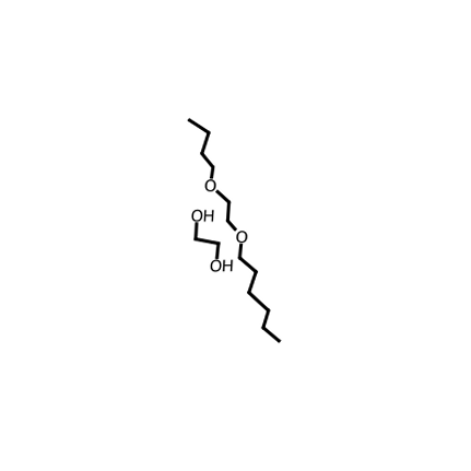 CCCCCCOCCOCCCC.OCCO